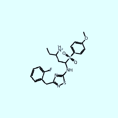 CCC(N)CC(Nc1nc(Cc2ccccc2F)ns1)S(=O)(=O)c1ccc(OC)cc1